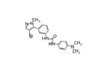 CN(C)c1ccc(NC(=O)Nc2cccc(-c3c(Br)cnn3C)c2)cc1